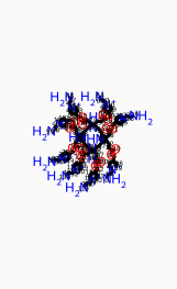 NCC[n+]1ccc(COC(=O)CCc2c3[nH]c(c2CC(=O)OCc2cc[n+](CCN)cc2)Cc2[nH]c(c(CC(=O)OCc4cc[n+](CCN)cc4)c2CCC(=O)OCc2cc[n+](CCN)cc2)Cc2[nH]c(c(CC(=O)OCc4cc[n+](CCN)cc4)c2CCC(=O)OCc2cc[n+](CCN)cc2)Cc2[nH]c(c(CCC(=O)OCc4cc[n+](CCN)cc4)c2CC(=O)OCc2cc[n+](CCN)cc2)C3)cc1